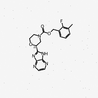 Cc1cccc(COC(=O)N2CCO[C@H](c3nc4nccnc4[nH]3)C2)c1F